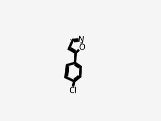 Clc1ccc(-c2c[c]no2)cc1